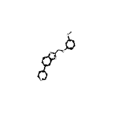 COc1cccc(OCc2nc3ccc(-c4ccncc4)cc3s2)c1